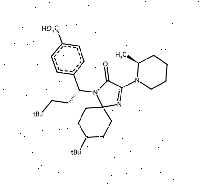 C[C@H]1CCCCN1C1=NC2(CCC(C(C)(C)C)CC2)N([C@H](CCC(C)(C)C)c2ccc(C(=O)O)cc2)C1=O